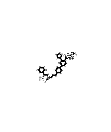 CS(=O)(=O)NC(=O)c1ccc(-c2ccc(CCCN(C[C@@H](O)c3ccccc3)C(=O)O)cc2)cc1C1CCCC1